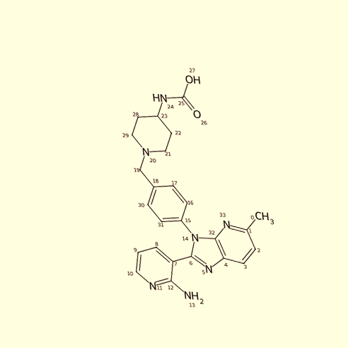 Cc1ccc2nc(-c3cccnc3N)n(-c3ccc(CN4CCC(NC(=O)O)CC4)cc3)c2n1